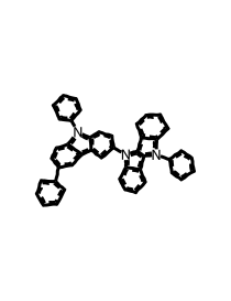 c1ccc(-c2ccc3c(c2)c2cc(-n4c5ccccc5c5c4c4ccccc4n5-c4ccccc4)ccc2n3-c2ccccc2)cc1